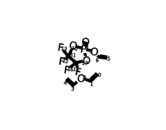 C=COC=C.C=COP1(=O)OC(F)(F)C(F)(F)O1